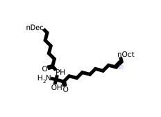 CCCCCCCC/C=C\CCCCCCCC(=O)C(N)(O)PC(=O)CCCCCCCCCCCCCCC